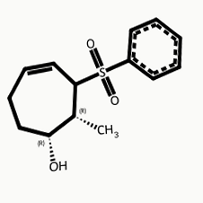 C[C@H]1C(S(=O)(=O)c2ccccc2)C=CCC[C@H]1O